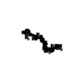 CC1=C(OCCCCCC(O)NCC(=O)N2CCC(c3ncc(-c4cnc(N)c(OCc5cccc(C#CC(C)(C)O)c5)c4)s3)CC2)CCCC=C1C=O